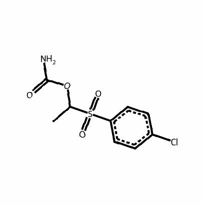 CC(OC(N)=O)S(=O)(=O)c1ccc(Cl)cc1